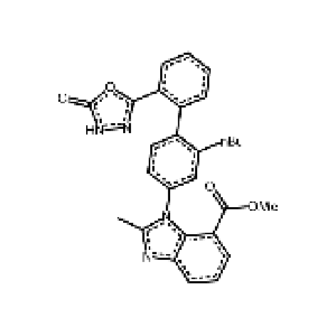 CCCCc1cc(-n2c(C)nc3cccc(C(=O)OC)c32)ccc1-c1ccccc1-c1n[nH]c(=O)o1